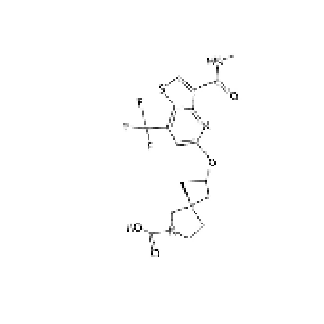 CNC(=O)c1csc2c(C(F)(F)F)cc(O[C@H]3C[C@]4(CCN(C(=O)O)C4)C3)nc12